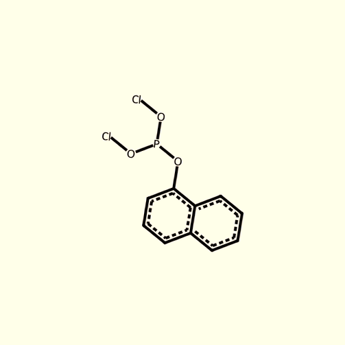 ClOP(OCl)Oc1cccc2ccccc12